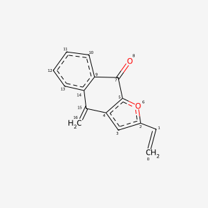 C=Cc1cc2c(o1)C(=O)c1ccccc1C2=C